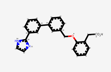 O=C(O)Cc1ccccc1OCc1cccc(-c2cccc(-c3ncc[nH]3)c2)c1